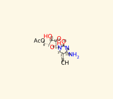 C#Cc1cn([C@@H]2O[C@H](COC(C)=O)[C@@H](O)[C@H]2O)c(=O)nc1N